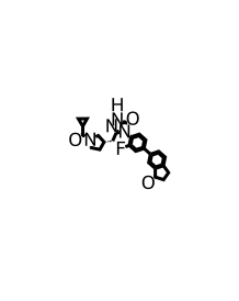 O=C1CCc2ccc(-c3ccc(-n4c(C[C@@H]5CCN(C(=O)C6CC6)C5)n[nH]c4=O)c(F)c3)cc21